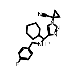 C[C@@](NCc1ccc(F)cc1)(c1cn(C2(C#N)CC2)nn1)C1CCCCC1